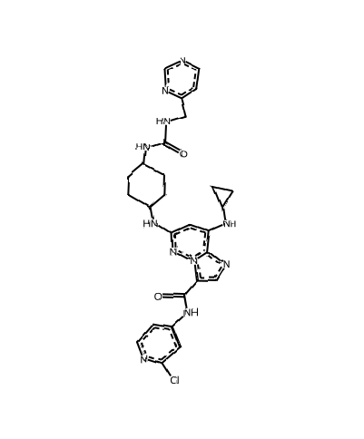 O=C(NCc1ccncn1)NC1CCC(Nc2cc(NC3CC3)c3ncc(C(=O)Nc4ccnc(Cl)c4)n3n2)CC1